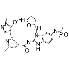 Cc1cc2cc(n1)-c1cnn(C)c1OC[C@H]1CC[C@@H](CN3/C(=N/C2=O)Nc2ccc(N=S(C)(C)=O)cc23)O1